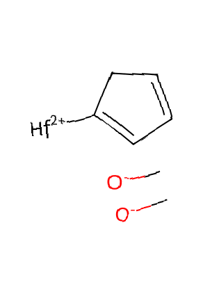 C[O-].C[O-].[Hf+2][C]1=CC=CC1